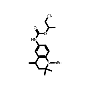 CCCCN1c2ccc(NC(=O)OC(C)CC#N)cc2C(C)CC1(C)C